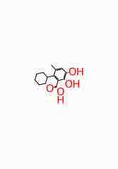 Cc1cc(O)c(O)c(C(=O)O)c1C1CCCCC1